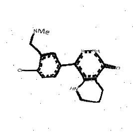 CNCc1cc(-c2n[nH]c(=O)c3c2NCCC3)ccc1Cl